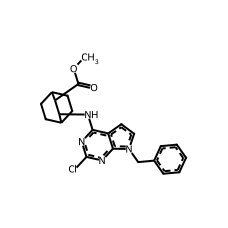 COC(=O)C1C2CCC(CC2)C1Nc1nc(Cl)nc2c1ccn2Cc1ccccc1